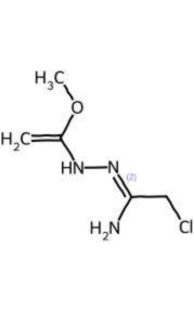 C=C(N/N=C(\N)CCl)OC